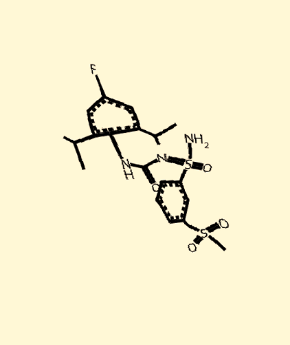 CC(C)c1cc(F)cc(C(C)C)c1NC(=O)N=S(N)(=O)c1cccc(S(C)(=O)=O)c1